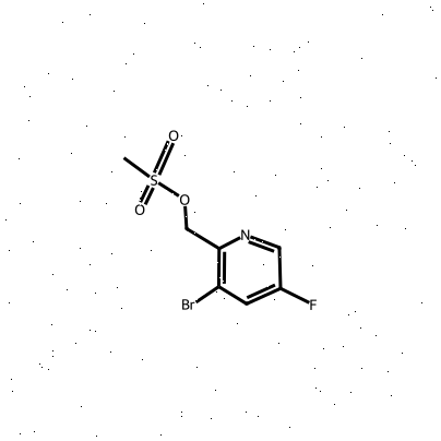 CS(=O)(=O)OCc1ncc(F)cc1Br